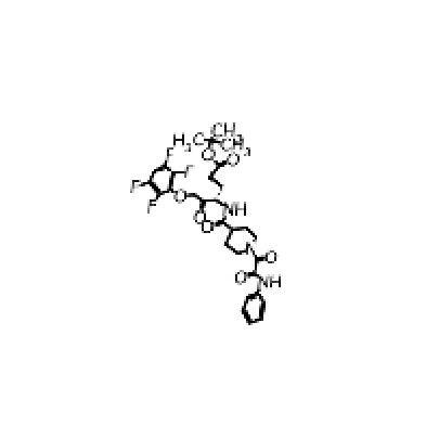 CC(C)(C)OC(=O)CC[C@H](NC(=O)C1CCN(C(=O)C(=O)Nc2ccccc2)CC1)C(=O)COc1c(F)c(F)cc(F)c1F